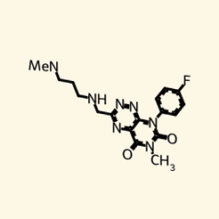 CNCCCNCc1nnc2c(n1)c(=O)n(C)c(=O)n2-c1ccc(F)cc1